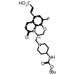 CC(C)(C)OC(=O)NC1CCN(C[C@@H]2COc3c(F)cc(C=CC(=O)O)c4ccc(=O)n2c34)CC1